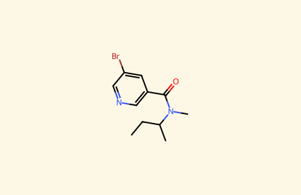 CCC(C)N(C)C(=O)c1cncc(Br)c1